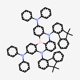 CC1(C)c2ccccc2-c2c(N3c4cc(N(c5ccccc5)c5ccccc5)ccc4B4c5ccc(N(c6ccccc6)c6ccccc6)cc5N(c5cccc6c5-c5ccccc5C6(C)C)c5cccc3c54)cccc21